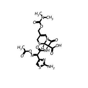 CC(=O)O/N=C(\C(=O)N[C@]1(C(=O)O)C(=O)N2C=C(COC(=O)N(C)C)CS[C@H]21)c1csc(N)n1